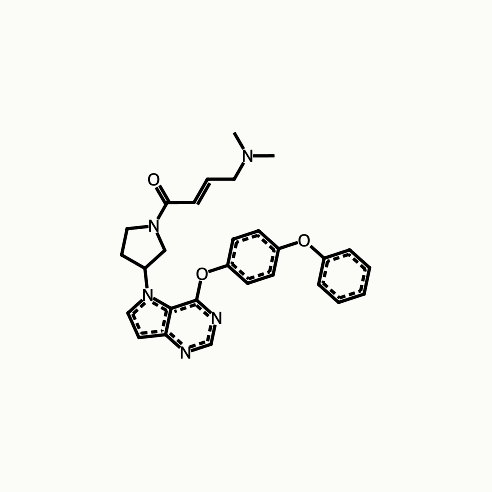 CN(C)CC=CC(=O)N1CCC(n2ccc3ncnc(Oc4ccc(Oc5ccccc5)cc4)c32)C1